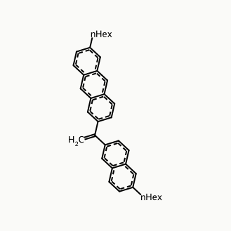 C=C(c1ccc2cc(CCCCCC)ccc2c1)c1ccc2cc3cc(CCCCCC)ccc3cc2c1